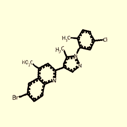 Cc1ccc(Cl)cc1-n1ncc(-c2cc(C(=O)O)c3cc(Br)ccc3n2)c1C